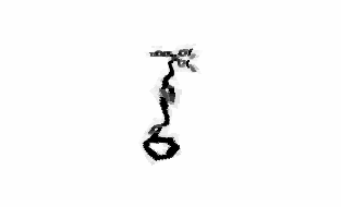 CCCCCCCC[Si](C)(C)CCCOCCOc1ccccc1